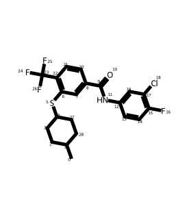 CC1CCC(Sc2cc(C(=O)Nc3ccc(F)c(Cl)c3)ccc2C(F)(F)F)CC1